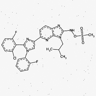 CC(C)Cn1c(NOS(C)(=O)=O)nc2ccc(-c3cn(-c4ccccc4F)c(-c4c(F)cccc4Cl)n3)nc21